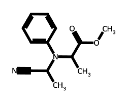 COC(=O)C(C)N(c1ccccc1)C(C)C#N